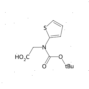 CC(C)(C)OC(=O)N(CC(=O)O)c1cccs1